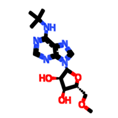 COC[C@H]1O[C@@H](n2cnc3c(NC(C)(C)C)ncnc32)[C@H](O)[C@@H]1O